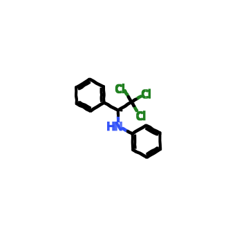 ClC(Cl)(Cl)[C](Nc1ccccc1)c1ccccc1